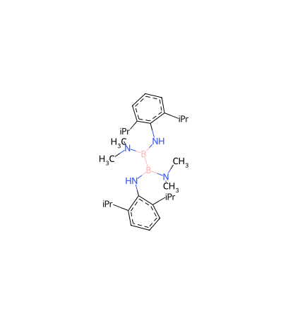 CC(C)c1cccc(C(C)C)c1NB(B(Nc1c(C(C)C)cccc1C(C)C)N(C)C)N(C)C